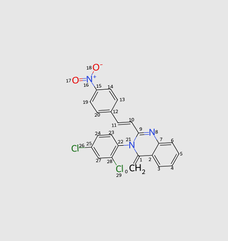 C=C1c2ccccc2N=C(/C=C/c2ccc([N+](=O)[O-])cc2)N1c1ccc(Cl)cc1Cl